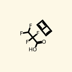 O=C(O)C(F)(F)C(F)F.c1cc2ccc1-2